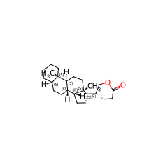 C[C@]12CCCC[C@H]1CC[C@H]1[C@H]3CC[C@@H]([C@H]4CCC(=O)OC4)[C@@]3(C)CC[C@@H]12